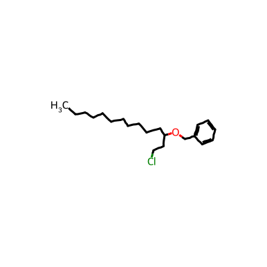 CCCCCCCCCCCC(CCCl)OCc1ccccc1